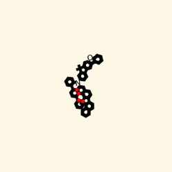 CC1(C)c2cc(N(c3ccc4c5c(ccc4c3)-c3ccc4ccccc4c3C5(C)C)c3ccccc3-c3ccc(-c4ccccc4)cc3)ccc2-c2cc3c(cc21)oc1ccccc13